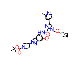 COc1cc2nn(C3CCN(C(=O)OC(C)(C)C)CC3)cc2cc1NC(=O)c1nc(-c2ccnc(C)c2)cn1COCC[Si](C)(C)C